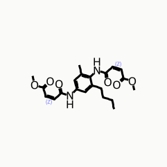 CCCCc1cc(NC(=O)/C=C\C(=O)OC)cc(C)c1NC(=O)/C=C\C(=O)OC